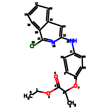 CCOC(=O)C(C)Oc1ccc(Nc2cc3ccccc3c(Cl)n2)cc1